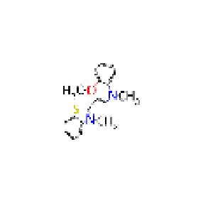 COc1ccccc1N(C)C=CC1Sc2ccccc2N1C